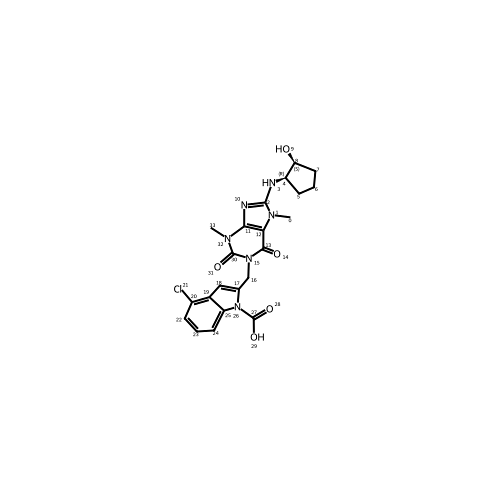 Cn1c(N[C@@H]2CCC[C@@H]2O)nc2c1c(=O)n(Cc1cc3c(Cl)cccc3n1C(=O)O)c(=O)n2C